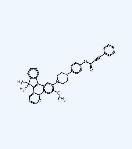 COc1cc2c(cc1N1CCN(c3ccc(OC(=O)C#Cc4ccccc4)cc3)CC1)C1=C(C3=CC=COC32)C(C)(C)c2ccccc21